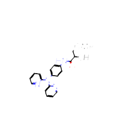 COCC(C)C(=O)Nc1ccc(N(c2ccccn2)c2ccccn2)cc1